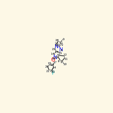 CC1=CC2=NC(c3ccc(C)cc3)=C(/C=N/OCc3cccc(F)c3)CN2C=C1